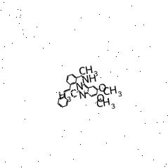 COc1cc2nc(C)nc(N[C@H](C)c3cccc(/C=C/c4ccccc4)c3)c2cc1OC